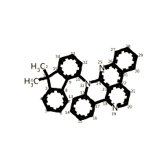 CC1(C)c2ccccc2-c2c(N3c4ccccc4-c4nccc5c4c3nc3ccccc35)cccc21